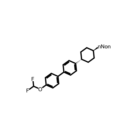 CCCCCCCCC[C@H]1CC[C@H](c2ccc(-c3ccc(OC(F)F)cc3)cc2)CC1